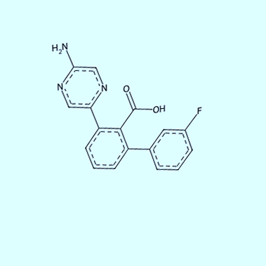 Nc1cnc(-c2cccc(-c3cccc(F)c3)c2C(=O)O)cn1